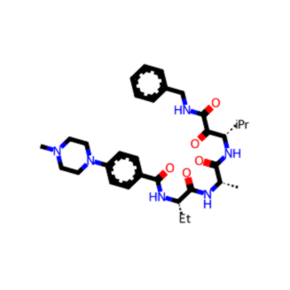 CC[C@H](NC(=O)c1ccc(N2CCN(C)CC2)cc1)C(=O)N[C@@H](C)C(=O)N[C@H](C(=O)C(=O)NCc1ccccc1)C(C)C